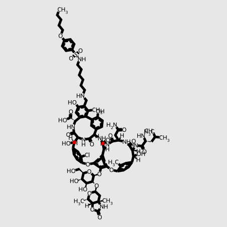 CCCCCOc1ccc(S(=O)(=O)NCCCCCCNCc2c(O)cc3c(c2C)-c2cc(ccc2O)[C@H]2NC(=O)[C@@H]4NC(=O)[C@H](CC(N)=O)NC(=O)[C@H](NC(=O)[C@@H](CC(C)C)NC)[C@H](O)c5ccc(c(C)c5)Oc5cc4cc(c5O[C@@H]4O[C@H](CO)[C@@H](O)[C@H](O)[C@H]4O[C@H]4C[C@]5(C)NC(=O)O[C@@H]5[C@H](C)O4)Oc4ccc(cc4Cl)[C@@H](O)[C@H](NC2=O)C(=O)N[C@@H]3C(=O)O)cc1